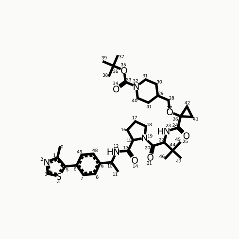 Cc1ncsc1-c1ccc(C(C)NC(=O)C2CCCN2C(=O)C(NC(=O)C2(OCC3CCN(C(=O)OC(C)(C)C)CC3)CC2)C(C)(C)C)cc1